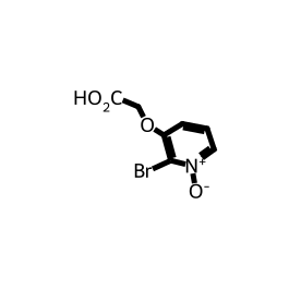 O=C(O)COc1ccc[n+]([O-])c1Br